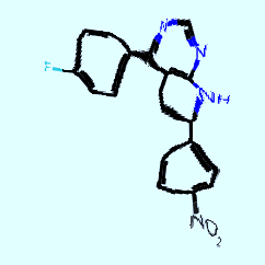 O=[N+]([O-])c1ccc(C2Cc3c(ncnc3-c3ccc(F)cc3)N2)cc1